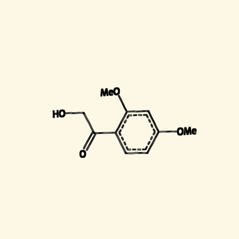 COc1ccc(C(=O)CO)c(OC)c1